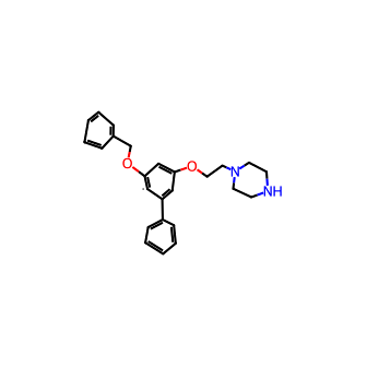 [c]1c(OCc2ccccc2)cc(OCCN2CCNCC2)cc1-c1ccccc1